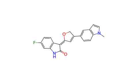 Cn1ccc2cc(C3=C/C(=C4\C(=O)Nc5cc(F)ccc54)OC3)ccc21